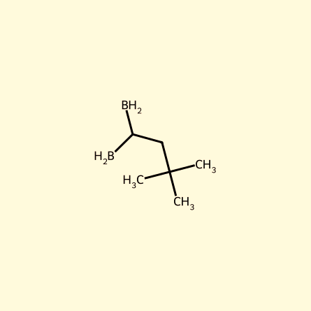 BC(B)CC(C)(C)C